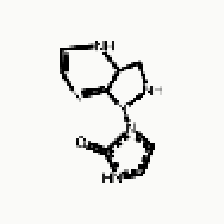 O=c1[nH]ccn1N1NCC2NC=CN=C21